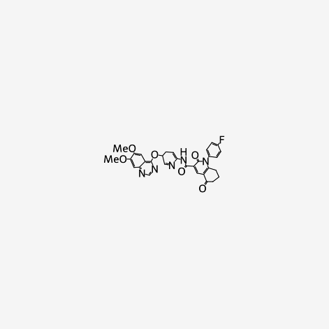 COc1cc2ncnc(OC3C=NC(NC(=O)c4cc5c(n(-c6ccc(F)cc6)c4=O)CCCC5=O)=CC3)c2cc1OC